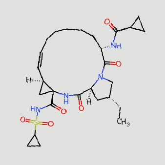 CC[C@@H]1C[C@H]2C(=O)N[C@]3(C(=O)NS(=O)(=O)C4CC4)C[C@H]3/C=C\CCCCC[C@H](NC(=O)C3CC3)C(=O)N2C1